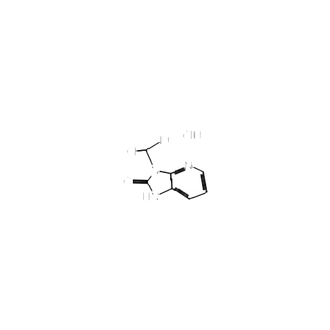 CCC(Cl)n1c(=O)[nH]c2cccnc21.Cl